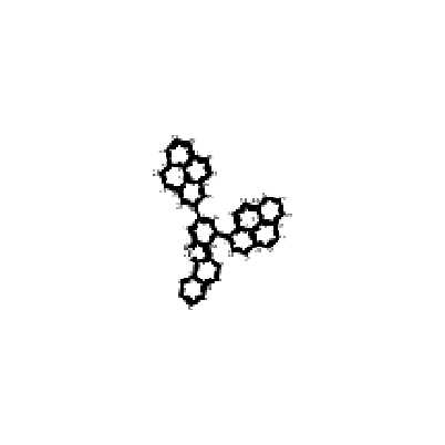 c1ccc2c(c1)ccc1c2oc2cc(-c3cc4ccc5cccc6ccc(c3)c4c56)cc(-c3ccc4ccc5cccc6ccc3c4c56)c21